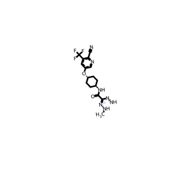 CN/N=C(\N=N)C(=O)N[C@H]1CC[C@H](Oc2cnc(C#N)c(C(F)(F)F)c2)CC1